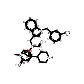 Cn1ccc([C@@H]2CCNC[C@H]2C(=O)N(Cc2cn(Cc3cccc(C#N)c3)c3ccccc23)C2CC2)cc1=O